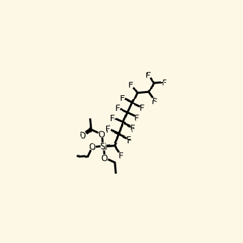 CCO[Si](OCC)(OC(C)=O)C(F)C(F)(F)C(F)(F)C(F)(F)C(F)(F)C(F)C(F)C(F)F